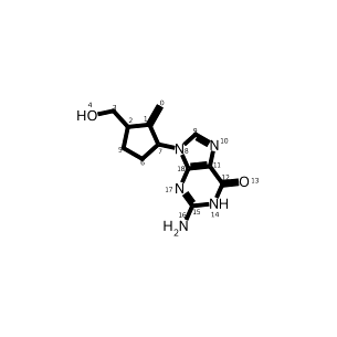 C=C1C(CO)CCC1n1cnc2c(=O)[nH]c(N)nc21